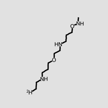 [2H]CCNCCCOCCNCCCONC